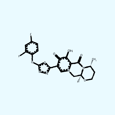 C[C@@H]1CCO[C@H]2Cn3cc(-c4nnc(Oc5ccc(F)cc5F)s4)c(=O)c(O)c3C(=O)N12